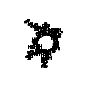 BNCC[C@@H]1NC(=O)[C@@H](NC(=O)[C@H](CC(=O)OCCCC)NC(=O)OC(C)(C)C)CCNC(=O)[C@H]([C@@H](C)O)NC(=O)[C@H](CCNC(=O)OC(C)(C)C)NC(=O)[C@H](CCNC(=O)OC(C)(C)C)NC(=O)[C@H](CC(C)C)NC(=O)[C@@H](Cc2ccccc2)NC1=O